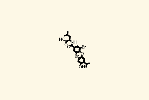 CC(C)CC(NC(=O)c1cc(Br)c(Oc2ccc(O)c(C(C)C)c2)c(Br)c1)C(=O)O